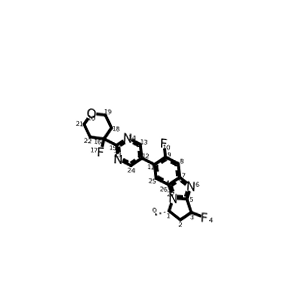 C[C@H]1CC(F)c2nc3cc(F)c(-c4cnc(C5(F)CCOCC5)nc4)cc3n21